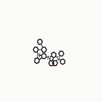 c1ccc(-c2ccccc2-c2ccccc2-n2c3ccccc3c3cc(-n4c5ccccc5c5c([Si](c6ccccc6)(c6ccccc6)c6ccccc6)cccc54)ccc32)cc1